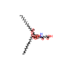 CCCCCCCCCCCCCCCC(=O)OCC(COP(=O)(O)OCCNC(=O)CCCC(=O)O)OC(=O)CCCCCCCCCCCCCCC